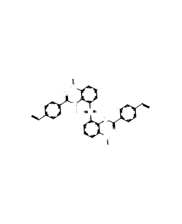 C=Cc1ccc(C(=O)Nc2c(OC)cccc2S(=O)(=O)c2cccc(OC)c2NC(=O)c2ccc(C=C)cc2)cc1